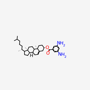 CC(C)CCC[C@@H](C)C1CCC2[C@@H]3CC=C4C[C@@H](OC(=O)c5cc(N)cc(N)c5)CC[C@]4(C)C3CC[C@@]21C